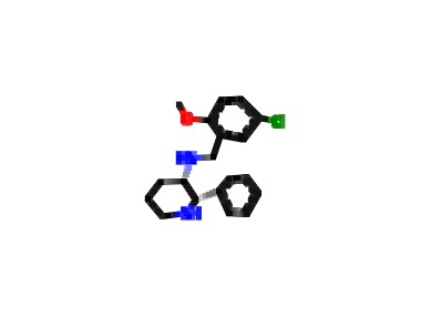 COc1ccc(Cl)cc1CN[C@H]1CCCN[C@H]1c1ccccc1